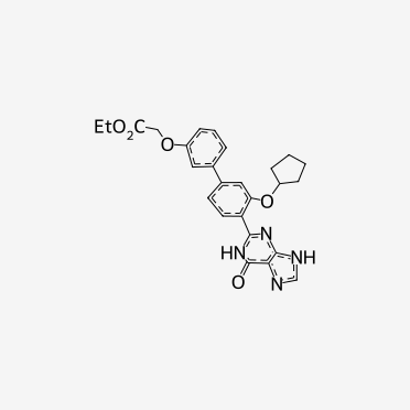 CCOC(=O)COc1cccc(-c2ccc(-c3nc4[nH]cnc4c(=O)[nH]3)c(OC3CCCC3)c2)c1